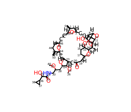 C=C1C[C@@H]2CC[C@@]3(O)C[C@H]4OC5[C@@H]6C(O[C@H]7CC[C@H](CC(=O)C[C@@H]8[C@@H](OC)[C@@H](C[C@@H](CNC(=O)C(O)C9CC9)OC)O[C@H]8C[C@H]8O[C@H](CCC8=C)CC[C@@H]1O2)O[C@@H]7[C@@H]6O3)[C@@H]54